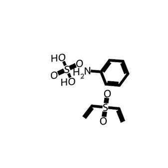 C=CS(=O)(=O)C=C.Nc1ccccc1.O=S(=O)(O)O